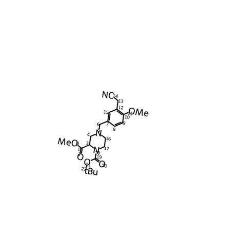 COC(=O)C1CN(Cc2ccc(OC)c(CC#N)c2)CCN1C(=O)OC(C)(C)C